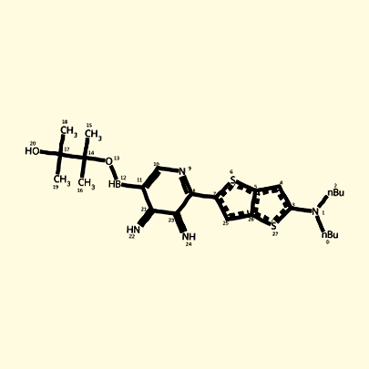 CCCCN(CCCC)c1cc2sc(C3=NC=C(BOC(C)(C)C(C)(C)O)C(=N)C3=N)cc2s1